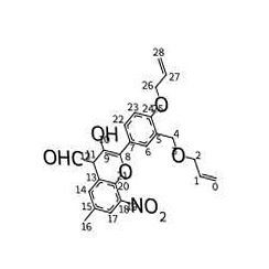 C=CCOCc1cc(C2=C(O)C(C=O)c3cc(C)cc([N+](=O)[O-])c3O2)ccc1OCC=C